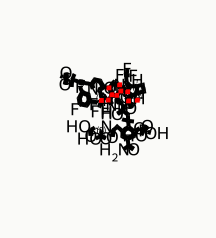 CC(C)(CC(=O)N(c1nn(CC(F)(F)F)c2c(-c3ccc(C#CC(C)(C)S(C)(=O)=O)nc3[C@H](Cc3cc(F)cc(F)c3)NC(=O)Cn3nc(C(F)(F)F)c4c3C(F)(F)[C@@H]3CC[C@H]43)ccc(Cl)c12)S(C)(=O)=O)c1c(CC(=O)N[C@@H](CC(=O)O)C(=O)O)cc(C(N)=O)cc1OP(=O)(O)O